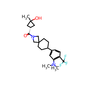 CN(C)c1cc(C2CCC3(CC2)CN(C(=O)[C@H]2C[C@@](C)(O)C2)C3)ccc1C(F)(F)F